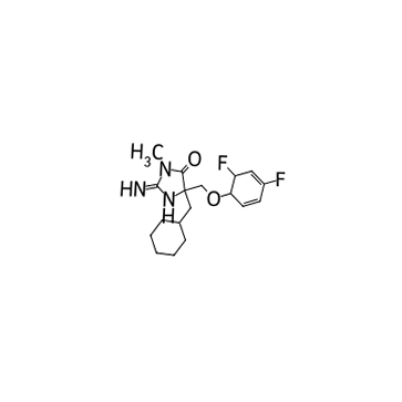 CN1C(=N)NC(COC2C=CC(F)=CC2F)(CC2CCCCC2)C1=O